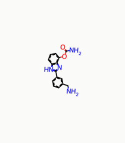 NCc1cccc(-c2nc3c(OC(N)=O)cccc3[nH]2)c1